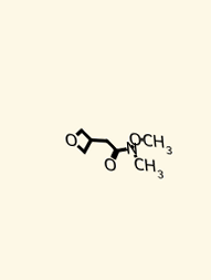 CON(C)C(=O)CC1COC1